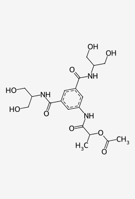 CC(=O)OC(C)C(=O)Nc1cc(C(=O)NC(CO)CO)cc(C(=O)NC(CO)CO)c1